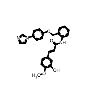 COc1ccc(C=CC(=O)Nc2ccccc2COc2ccc(-n3ccnc3)cc2)cc1O